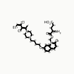 CC/C=C(Cl)\C(Cl)=C(/C)N1CCN(CCCCOc2ccc3ccc(=O)n(COC(=O)C(N)CCC(=O)O)c3c2)CC1